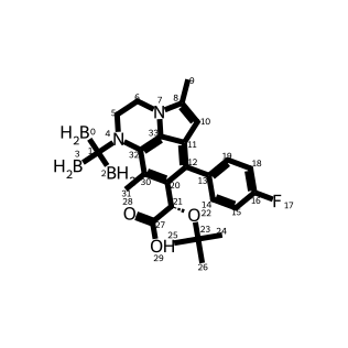 BC(B)(B)N1CCn2c(C)cc3c(-c4ccc(F)cc4)c([C@H](OC(C)(C)C)C(=O)O)c(C)c1c32